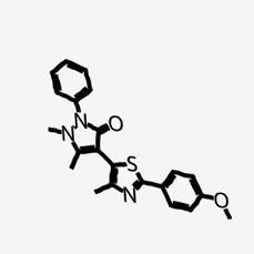 COc1ccc(-c2nc(C)c(-c3c(C)n(C)n(-c4ccccc4)c3=O)s2)cc1